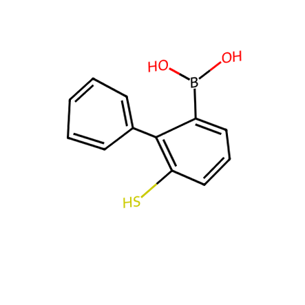 OB(O)c1cccc(S)c1-c1ccccc1